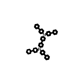 C1=CCCC(C2=CC=C(N(c3ccc(-c4ccccc4)cc3)c3ccc(-c4ccc(N(c5ccc(-c6ccccc6)cc5)c5ccc(-c6ccccc6)cc5)cc4)cc3)CC2)=C1